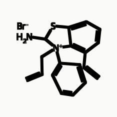 C=CC[N+]1(c2ccccc2)c2c(C=C)cccc2SC1N.[Br-]